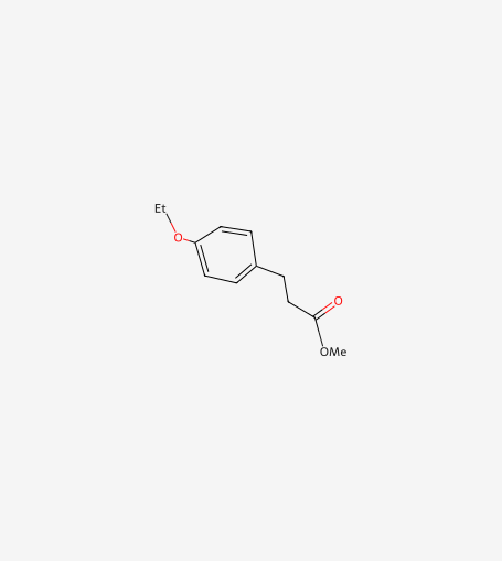 CCOc1ccc(CCC(=O)OC)cc1